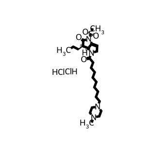 CCC[C@H]1C(=O)N(S(C)(=O)=O)C2=CCN(C(=O)CCCCCCCCCN3CCN(C)CC3)[C@@H]21.Cl.Cl